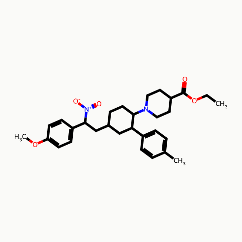 CCOC(=O)C1CCN(C2CCC(CC(c3ccc(OC)cc3)[N+](=O)[O-])CC2c2ccc(C)cc2)CC1